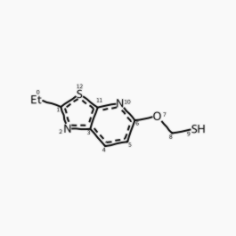 CCc1nc2ccc(OCS)nc2s1